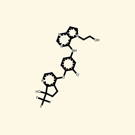 OCCn1ccc2ncnc(Nc3ccc(Oc4ccnc5c4CCC5(O)C(F)(F)F)c(Cl)c3)c21